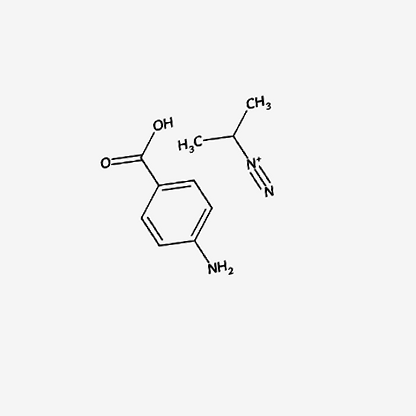 CC(C)[N+]#N.Nc1ccc(C(=O)O)cc1